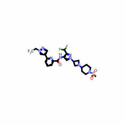 CS(=O)(=O)N1CCC(N2CC(n3cc(NC(=O)c4cccc(-c5cnn(CC(F)(F)F)c5)n4)c(C(F)F)n3)C2)CC1